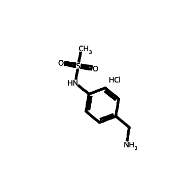 CS(=O)(=O)Nc1ccc(CN)cc1.Cl